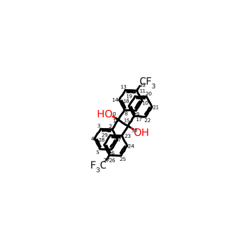 OC(c1ccccc1)(c1ccc(C(F)(F)F)cc1)C(O)(c1ccccc1)c1ccc(C(F)(F)F)cc1